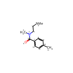 CNCCN(C)C(=O)c1ccc(C)cc1